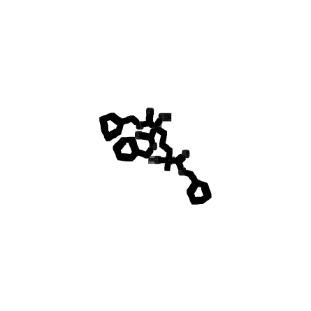 C[N+](O)(CCC[N+](O)(C(=O)OCc1ccccc1)C(=O)OCc1ccccc1)C(=O)OCc1ccccc1